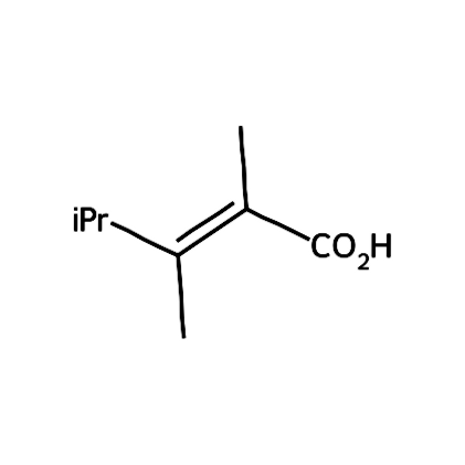 CC(C(=O)O)=C(C)C(C)C